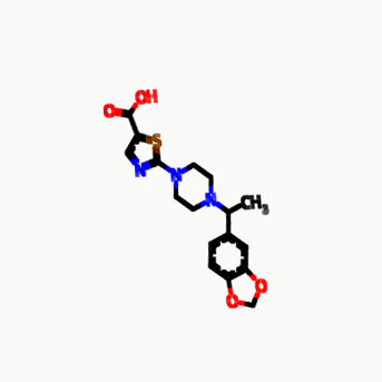 CC(c1ccc2c(c1)OCO2)N1CCN(c2ncc(C(=O)O)s2)CC1